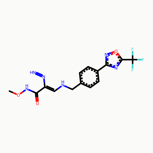 CONC(=O)/C(=C/NCc1ccc(-c2noc(C(F)(F)F)n2)cc1)N=N